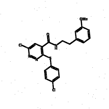 COc1cccc(CCNC(=O)c2cc(Cl)nnc2Sc2ccc(Cl)cc2)c1